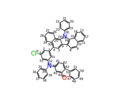 Clc1cc(-c2cc3c4ccc5ccccc5c4n(-c4ccccc4)c3c3ccccc23)cc(N(c2ccccc2)c2ccc3c(c2)oc2ccccc23)c1